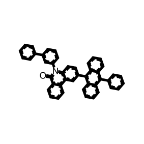 O=c1c2ccccc2c2cc(-c3c4ccccc4c(-c4ccccc4)c4ccccc34)ccc2n1-c1cccc(-c2ccccc2)c1